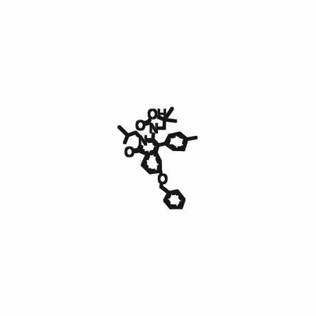 Cc1ccc(-c2c(N(CC(C)(C)C)C(=O)O)n(CC(C)C)c(=O)c3ccc(OCc4ccccc4)cc23)cc1